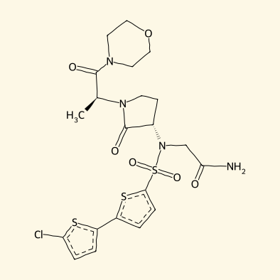 C[C@@H](C(=O)N1CCOCC1)N1CC[C@H](N(CC(N)=O)S(=O)(=O)c2ccc(-c3ccc(Cl)s3)s2)C1=O